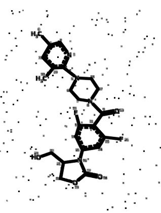 Cc1cnc(N2CCN(C(=O)c3c(F)cc(N4C(=O)OCC4CO)cc3F)CC2)c(C)c1